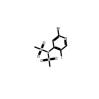 CS(=O)(=O)N(c1cc(Br)ncc1I)S(C)(=O)=O